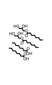 CCCCCCCC(=O)O.CCCCCCCC(=O)O.CCCCCCCC(=O)OCC(O)CO.CCCCCCCC(=O)OCC(O)CO